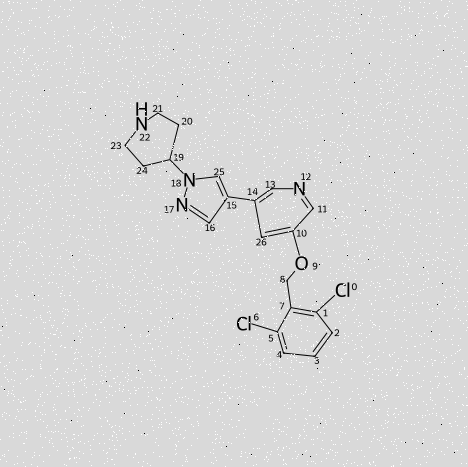 Clc1cccc(Cl)c1COc1cncc(-c2cnn(C3CCNCC3)c2)c1